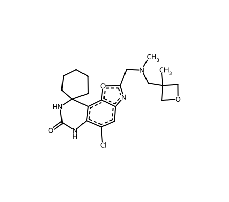 CN(Cc1nc2cc(Cl)c3c(c2o1)C1(CCCCC1)NC(=O)N3)CC1(C)COC1